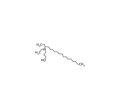 CCCCCCCCCCCCCCCC(CC)N(CC)CCCO